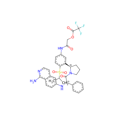 CC(C)S(=O)(=O)c1ccc(NC(=O)COC(=O)C(F)(F)F)cc1[C@H]1CCCN1C(=O)[C@@H](Nc1ccc2c(N)nccc2c1)c1ccccc1